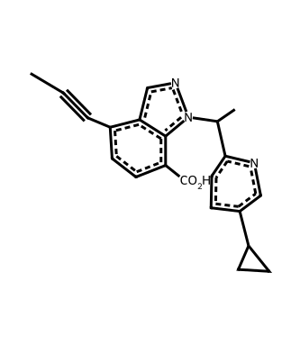 CC#Cc1ccc(C(=O)O)c2c1cnn2C(C)c1ccc(C2CC2)cn1